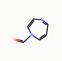 O=CN1C=CC=NC=C1